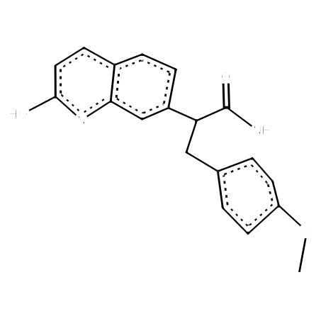 COc1ccc(CC(C(N)=O)c2ccc3ccc(O)nc3c2)cc1